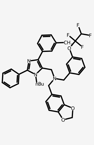 CCCCn1c(-c2ccccc2)nc(-c2cccc(C)c2)c1CN(Cc1cccc(OC(F)(F)C(F)F)c1)Cc1ccc2c(c1)OCO2